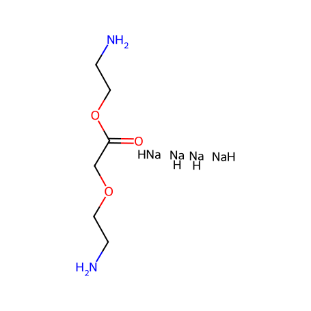 NCCOCC(=O)OCCN.[NaH].[NaH].[NaH].[NaH]